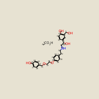 CC(=O)O.OCc1cc([C@@H](O)CNCCc2ccc(OCCOCc3ccc(O)cc3)cc2)ccc1O